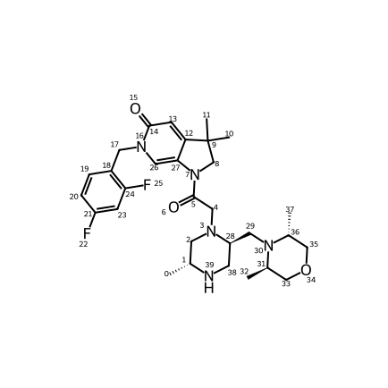 C[C@@H]1CN(CC(=O)N2CC(C)(C)c3cc(=O)n(Cc4ccc(F)cc4F)cc32)[C@@H](CN2[C@H](C)COC[C@H]2C)CN1